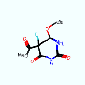 CCCCOC1NC(=O)NC(=O)C1(F)C(=O)OC